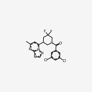 Cc1cc(C2CN(C(=O)c3cc(Cl)cc(Cl)c3)CC(F)(F)C2)n2ncnc2n1